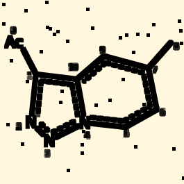 CC(=O)c1nnn2ccc(C)cc12